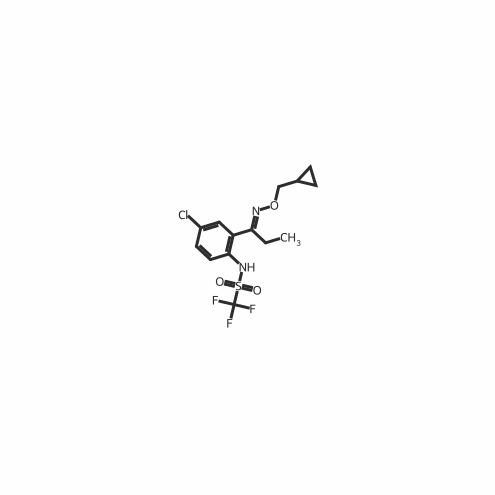 CCC(=NOCC1CC1)c1cc(Cl)ccc1NS(=O)(=O)C(F)(F)F